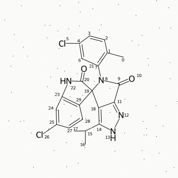 Cc1ccc(Cl)cc1N1C(=O)c2n[nH]c(C(C)C)c2C12C(=O)Nc1cc(Cl)ccc12